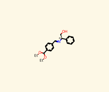 CCOC(OCC)c1ccc(C=N[C@@H](CO)c2ccccc2)cc1